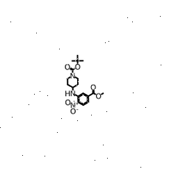 COC(=O)c1ccc([N+](=O)[O-])c(NC2CCN(C(=O)OC(C)(C)C)CC2)c1